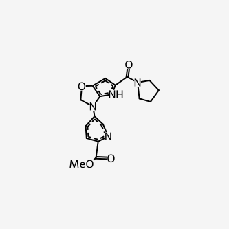 COC(=O)c1ccc(N2COc3cc(C(=O)N4CCCC4)[nH]c32)cn1